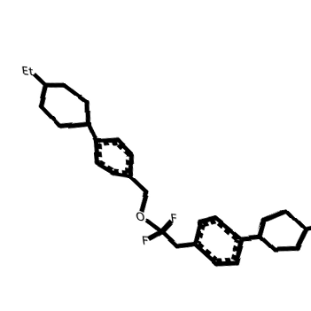 CCC1CCC(c2ccc(COC(F)(F)Cc3ccc(C4CCC(CC)CC4)cc3)cc2)CC1